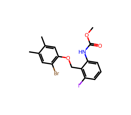 COC(=O)Nc1cccc(I)c1COc1cc(C)c(C)cc1Br